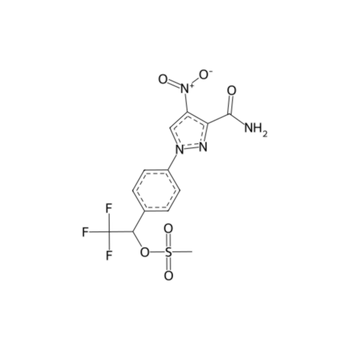 CS(=O)(=O)OC(c1ccc(-n2cc([N+](=O)[O-])c(C(N)=O)n2)cc1)C(F)(F)F